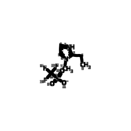 CCc1[nH]cc[n+]1C.O=S(=O)([O-])C(F)(F)F